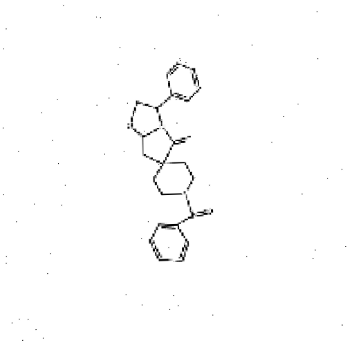 O=C(c1ccccc1)N1CCC2(CC1)CC1OCC(c3ccccc3)N1C2=O